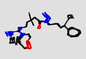 CCOC(=O)NC(=NCCC(C)(C)CC(=O)NCCCC(C#N)c1ccccc1)N1CCOCC1